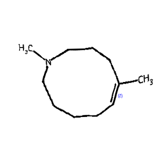 C/C1=C/CCCCN(C)CCC1